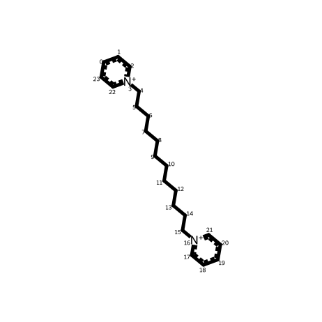 c1cc[n+](CCCCCCCCCCCC[n+]2ccccc2)cc1